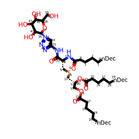 CCCCCCCCCCCCCCC(=O)N[C@H](CSC[C@@H](COC(=O)CCCCCCCCCCCCCC)OC(=O)CCCCCCCCCCCCCC)C(=O)Nc1cn([C@@H]2OC(CO)C(O)C(O)C2O)nn1